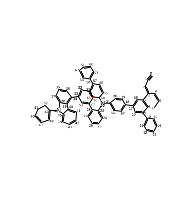 C#C/C=C(\C=C/C)c1cc(-c2ccccc2)cc(-c2ccc(N(c3ccccc3-c3cccc(-c4cccc5c4c4ccccc4n5C4=CC=CCC4)c3)C3C=CC(c4ccccc4)=CC3)cc2)c1